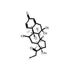 CC(=O)O[C@]1(C(=O)CI)CC[C@H]2[C@@H]3C(O)(O)CC4=CC(=O)C=C[C@]4(C)[C@@]3(Cl)C(Cl)C[C@@]21C